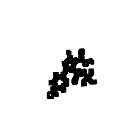 COC(=O)c1c(C)cc(-c2ccc(Cl)cn2)n1C(=O)OC(C)(C)C